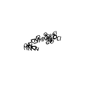 O=C(O)[C@H](CCC(=O)N1CCC(Cn2c(=O)[nH]c3cnccc32)CC1)NC(=O)[C@@H]1CCCN1S(=O)(=O)c1cc(Cl)cc(Cl)c1